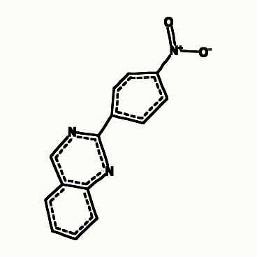 O=[N+]([O-])c1ccc(-c2ncc3ccccc3n2)cc1